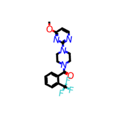 COc1ccnc(N2CCN(C(=O)c3ccccc3C(F)(F)F)CC2)n1